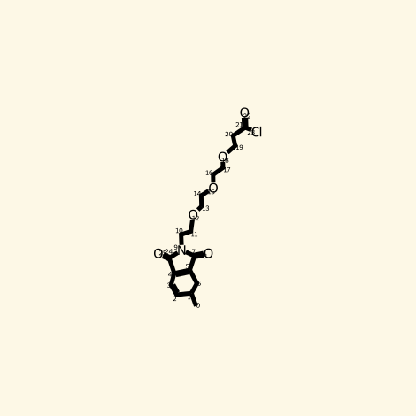 CC1C=CC2=C(C1)C(=O)N(CCOCCOCCOCCC(=O)Cl)C2=O